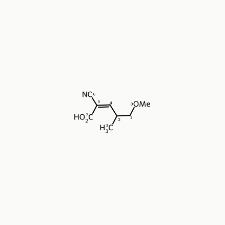 COCC(C)C=C(C#N)C(=O)O